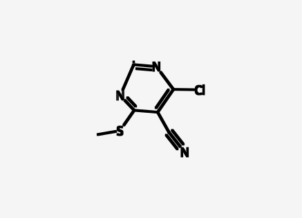 CSc1n[c]nc(Cl)c1C#N